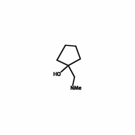 CNCC1(O)CCCC1